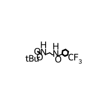 CC(C)(C)OC(=O)NCCCNC(=O)c1cccc(C(F)(F)F)c1